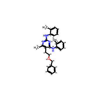 Cc1ccccc1Nc1nc(C)c(CCOCc2ccccc2)c(Nc2ccccc2C)n1